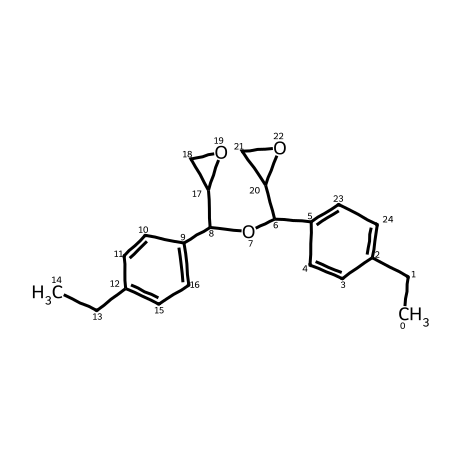 CCc1ccc(C(OC(c2ccc(CC)cc2)C2CO2)C2CO2)cc1